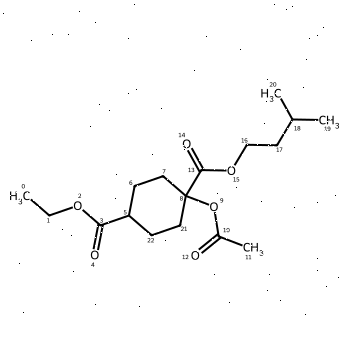 CCOC(=O)C1CCC(OC(C)=O)(C(=O)OCCC(C)C)CC1